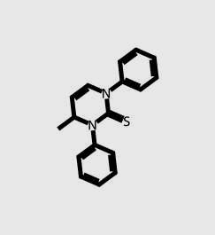 CC1C=CN(c2ccccc2)C(=S)N1c1ccccc1